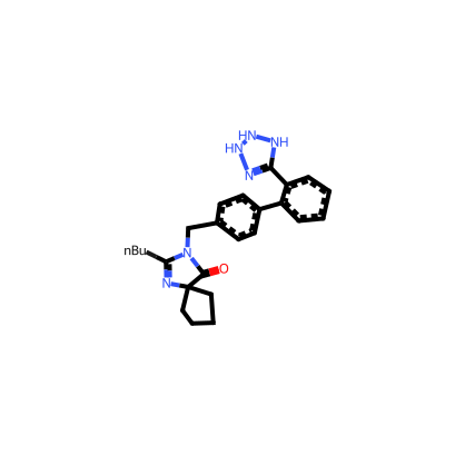 CCCCC1=NC2(CCCC2)C(=O)N1Cc1ccc(-c2ccccc2C2=NNNN2)cc1